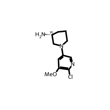 COc1cc(N2CCC[C@@H](N)C2)cnc1Cl